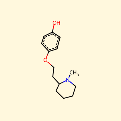 CN1CCCCC1CCOc1ccc(O)cc1